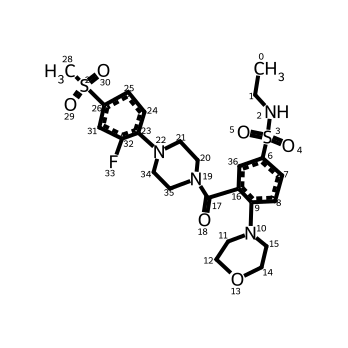 CCNS(=O)(=O)c1ccc(N2CCOCC2)c(C(=O)N2CCN(c3ccc(S(C)(=O)=O)cc3F)CC2)c1